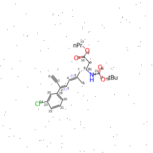 C#C/C(=C\C=C(/C)C[C@H](CC(=O)OCCC)NC(=O)OC(C)(C)C)c1cccc(Cl)c1